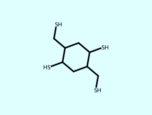 SCC1CC(S)C(CS)CC1S